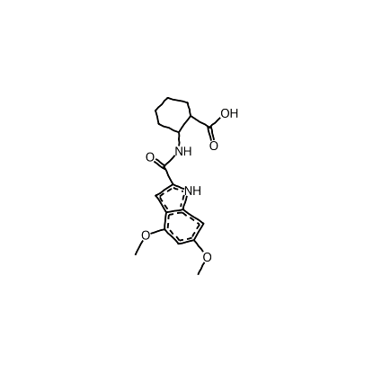 COc1cc(OC)c2cc(C(=O)NC3CCCCC3C(=O)O)[nH]c2c1